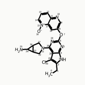 CCc1[nH]c2nc(Oc3cnc4ccc[n+]([O-])c4c3)nc(N3CC4C(N)C4C3)c2c1Cl